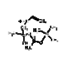 C=CC(=O)O.C[SiH](O[Si](C)(C)C)O[Si](C)(C)C